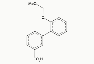 COCOc1ccccc1-c1cccc(C(=O)O)c1